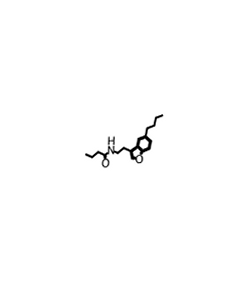 CCCCc1ccc2occ(CCNC(=O)CCC)c2c1